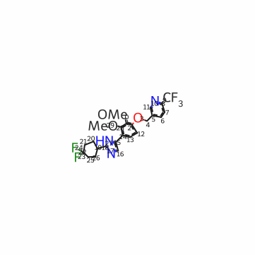 COc1c(OCc2ccc(C(F)(F)F)nc2)ccc(-c2cnc(C3CCC(F)(F)CC3)[nH]2)c1OC